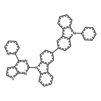 c1ccc(-n2c3ccccc3c3cc(-c4ccc5c(c4)c4ccccc4n5-c4nc(-c5ccccn5)c5ccsc5n4)ccc32)cc1